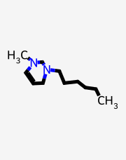 CCCCCCN1CC=CN(C)C1